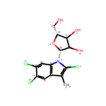 Cc1c(Cl)n([C@@H]2O[C@H](CO)C(O)C2O)c2cc(Cl)c(Cl)cc12